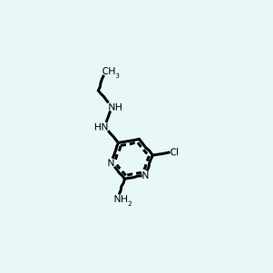 CCNNc1cc(Cl)nc(N)n1